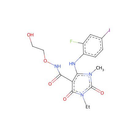 CCn1c(=O)c(C(=O)NOCCO)c(Nc2ccc(I)cc2F)n(C)c1=O